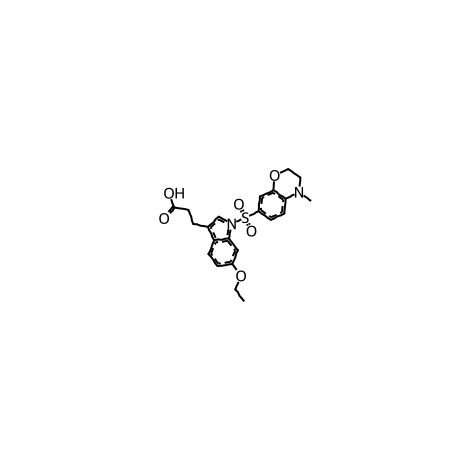 CCOc1ccc2c(CCC(=O)O)cn(S(=O)(=O)c3ccc4c(c3)OCCN4C)c2c1